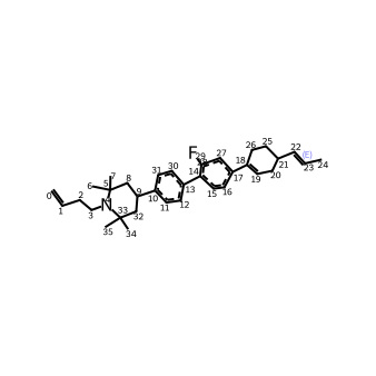 C=CCCN1C(C)(C)CC(c2ccc(-c3ccc(C4=CCC(/C=C/C)CC4)cc3F)cc2)CC1(C)C